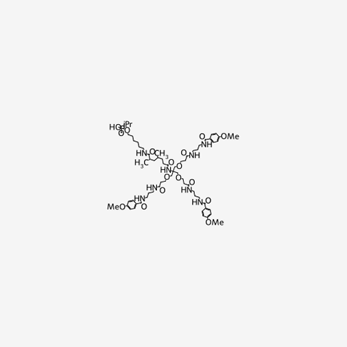 COc1ccc(C(=O)NCCCNC(=O)CCOCC(COCCC(=O)NCCCNC(=O)c2ccc(OC)cc2)(COCCC(=O)NCCCNC(=O)c2ccc(OC)cc2)NC(=O)CCC(C)CC(C)C(=O)NCCCCCCOP(=O)(O)C(C)C)cc1